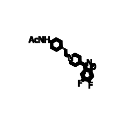 CC(=O)N[C@H]1CC[C@H](CCN2CCC(c3noc4cc(F)c(F)cc34)CC2)CC1